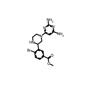 COC(=O)c1ccc(Br)c(C2CN(c3cc(N)nc(N)n3)CCN2)c1